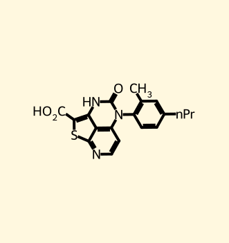 CCCc1ccc(N2C(=O)Nc3c(C(=O)O)sc4nccc2c34)c(C)c1